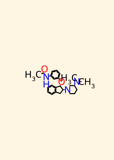 CC(=O)Nc1cccc(O[C@H]2c3ccccc3C[C@@H]2N2CCC[C@@H](N(C)C)C2)c1